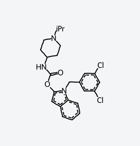 CC(C)N1CCC(NC(=O)Oc2cc3ccccc3n2Cc2cc(Cl)cc(Cl)c2)CC1